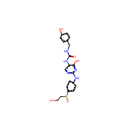 O=C(N[CH]c1ccc(O)cc1)Nc1cnc(Nc2ccc([S+]([O-])CCO)cc2)nc1O